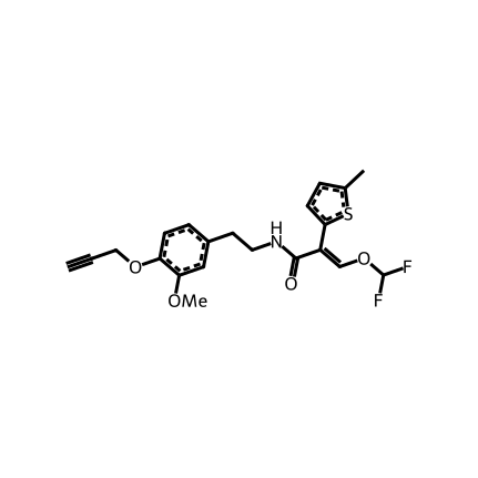 C#CCOc1ccc(CCNC(=O)C(=COC(F)F)c2ccc(C)s2)cc1OC